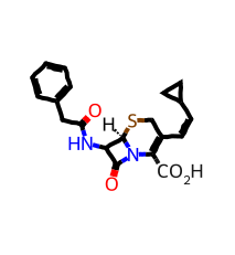 O=C(Cc1ccccc1)NC1C(=O)N2C(C(=O)O)=C(/C=C\C3CC3)CS[C@H]12